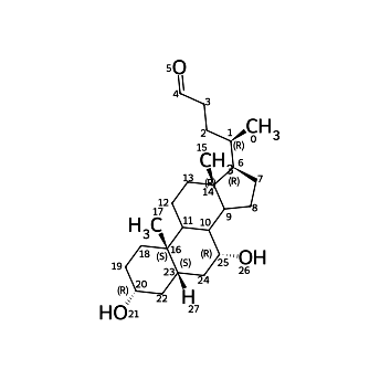 C[C@H](CCC=O)[C@H]1CCC2C3C(CC[C@@]21C)[C@@]1(C)CC[C@@H](O)C[C@H]1C[C@H]3O